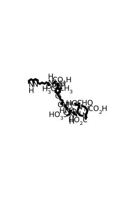 Cc1cc(OCCCC(=O)NCCNC(=O)C(CS(=O)(=O)O)NC(=O)CN2CCN(CC(=O)O)CCN(CC(=O)O)CCN(C(C=O)CO)CC2)cc(C)c1S(=O)(=O)N[C@@H](CNC(=O)CCCCc1ccc2c(n1)NCCC2)C(=O)O